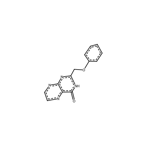 O=c1[nH]c(COc2ccccc2)nc2nccnc12